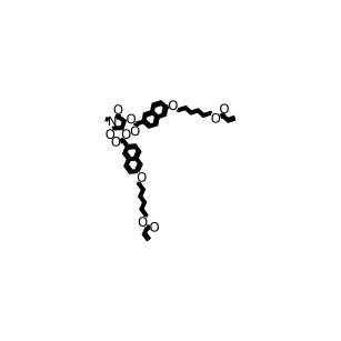 C=CC(=O)OCCCCCCOc1ccc2cc(C(=O)O[C@H]3C(=O)N(C)C(=O)[C@@H]3OC(=O)c3ccc4cc(OCCCCCCOC(=O)C=C)ccc4c3)ccc2c1